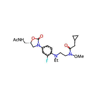 CCN(CCN(OC)C(=O)CC1CC1)c1ccc(N2C[C@H](CNC(C)=O)OC2=O)cc1F